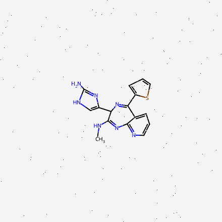 CNC1=Nc2ncccc2C(c2cccs2)=NC1c1c[nH]c(N)n1